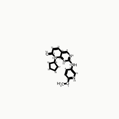 COc1ccc(Nc2ncc3ccc(=O)n(C4CCCC4)c3n2)cn1